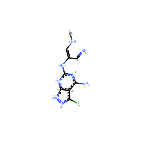 CCN/C=C(\C=N)Nc1nc(N)c2c(Cl)n[nH]c2n1